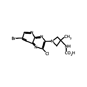 CC1(NC(=O)O)CN(c2nc3ncc(Br)cc3nc2Cl)C1